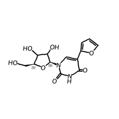 O=c1[nH]c(=O)n([C@H]2O[C@@H](CO)C(O)C2O)cc1-c1ccco1